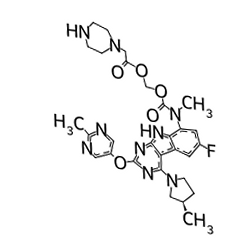 Cc1ncc(Oc2nc(N3CC[C@@H](C)C3)c3c(n2)[nH]c2c(N(C)C(=O)OCOC(=O)CN4CCNCC4)cc(F)cc23)cn1